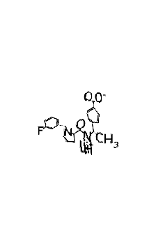 C[C@H](NC(=O)[C@H]1CCCN1Cc1cccc(F)c1)c1ccc(C(=O)[O-])cc1.[Li+]